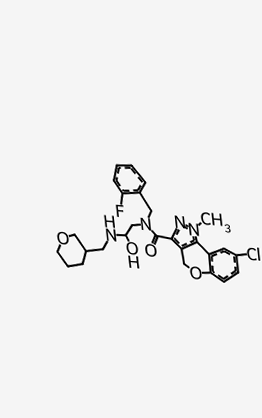 Cn1nc(C(=O)N(Cc2ccccc2F)CC(O)NCC2CCCOC2)c2c1-c1cc(Cl)ccc1OC2